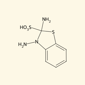 NN1c2ccccc2SC1(N)S(=O)(=O)O